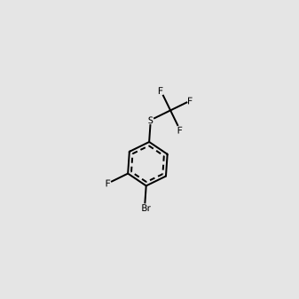 Fc1cc(SC(F)(F)F)ccc1Br